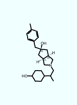 Cc1ccc(C[C@]2(O)C[C@H]3CN(CC(C)C4CCC(O)CC4)C[C@H]3C2)cc1